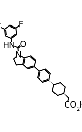 O=C(O)C[C@H]1CC[C@H](c2ccc(-c3ccc4c(c3)CCN4C(=O)Nc3cc(F)cc(F)c3)cc2)CC1